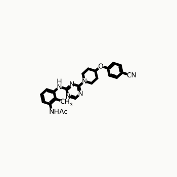 CC(=O)Nc1cccc(Nc2ncnc(N3CCC(Oc4ccc(C#N)cc4)CC3)n2)c1C